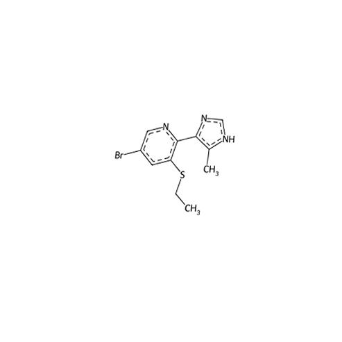 CCSc1cc(Br)cnc1-c1nc[nH]c1C